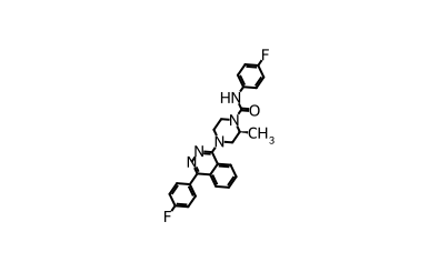 C[C@H]1CN(c2nnc(-c3ccc(F)cc3)c3ccccc23)CCN1C(=O)Nc1ccc(F)cc1